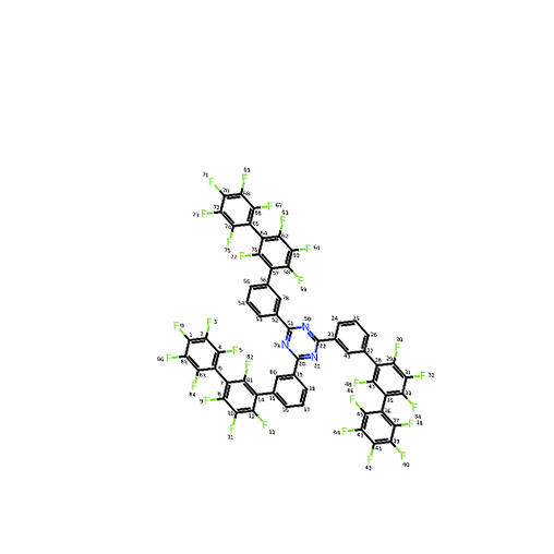 Fc1c(F)c(F)c(-c2c(F)c(F)c(F)c(-c3cccc(-c4nc(-c5cccc(-c6c(F)c(F)c(F)c(-c7c(F)c(F)c(F)c(F)c7F)c6F)c5)nc(-c5cccc(-c6c(F)c(F)c(F)c(-c7c(F)c(F)c(F)c(F)c7F)c6F)c5)n4)c3)c2F)c(F)c1F